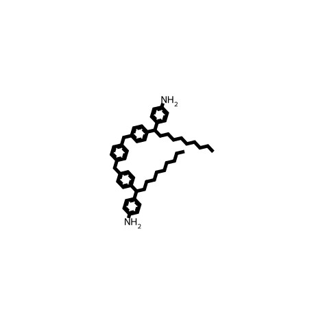 CCCCCCCCCC(c1ccc(N)cc1)c1ccc(Cc2ccc(Cc3ccc(C(CCCCCCCCC)c4ccc(N)cc4)cc3)cc2)cc1